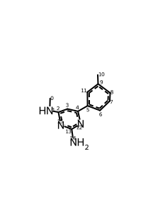 CNc1cc(-c2cccc(C)c2)nc(N)n1